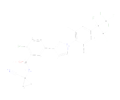 Cc1cc(C(F)(C(F)(F)F)C(F)(F)F)cc(C)c1-n1ccc(-c2ccc(Cl)c(C(=O)NC3(C#N)CC3)c2)c1